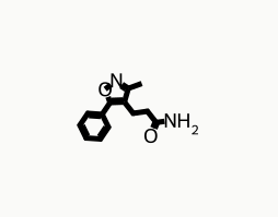 Cc1noc(-c2ccccc2)c1CCC(N)=O